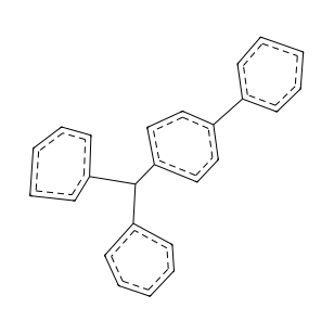 c1ccc(-c2ccc(C(c3ccccc3)c3ccccc3)cc2)cc1